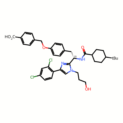 CC(C)(C)C1CCC(C(=O)N[C@@H](Cc2ccc(OCc3ccc(C(=O)O)cc3)cc2)c2nc(-c3ccc(Cl)cc3Cl)cn2CCCO)CC1